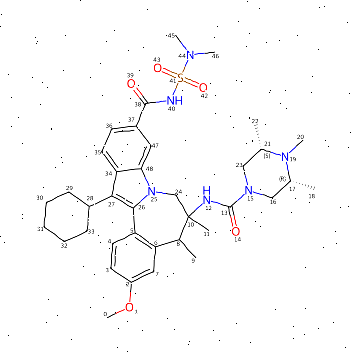 COc1ccc2c(c1)C(C)C(C)(NC(=O)N1C[C@@H](C)N(C)[C@@H](C)C1)Cn1c-2c(C2CCCCC2)c2ccc(C(=O)NS(=O)(=O)N(C)C)cc21